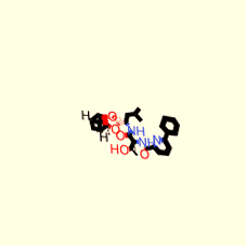 CC(C)CC(NC(=O)C(NC(=O)c1cccc(-c2ccccc2)n1)[C@@H](C)O)B1OC2C[C@@H]3C[C@@H](C3(C)C)[C@]2(C)O1